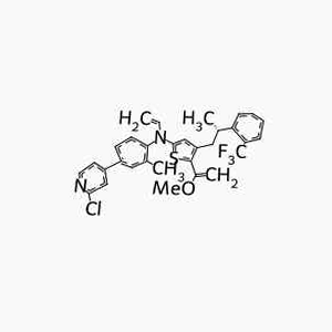 C=CN(c1cc(C[C@H](C)c2ccccc2C(F)(F)F)c(C(=C)OC)s1)c1ccc(-c2ccnc(Cl)c2)cc1C